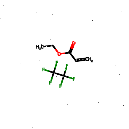 C=CC(=O)OCC.FC(F)(F)C(F)(F)F